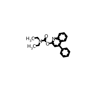 CCN(CC)C(=O)Oc1cc(-c2ccccc2)c2ccccc2n1